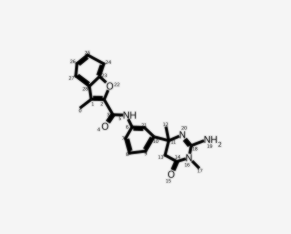 Cc1c(C(=O)Nc2cccc(C3(C)CC(=O)N(C)C(N)=N3)c2)oc2ccccc12